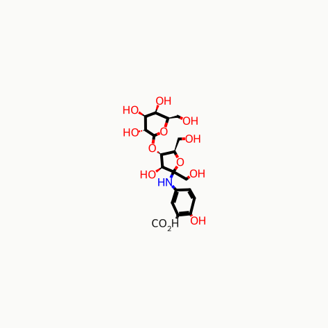 O=C(O)c1cc(NC2(CO)O[C@H](CO)[C@@H](OC3O[C@H](CO)[C@H](O)[C@H](O)[C@H]3O)[C@@H]2O)ccc1O